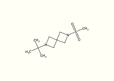 CC(C)(C)N1CC2(C1)CN(S(C)(=O)=O)C2